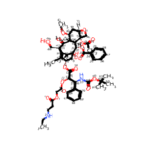 CCNCCC(=O)OCC(=O)O[C@@H](C(=O)O[C@H]1C[C@@]2(O)[C@@H](OC(=O)c3ccccc3)[C@@H]3[C@]4(OC(C)=O)CO[C@@H]4C[C@H](OC)[C@@]3(C)C(=O)[C@H](CO)C(=C1C)C2(C)C)[C@@H](NC(=O)OC(C)(C)C)c1ccccc1